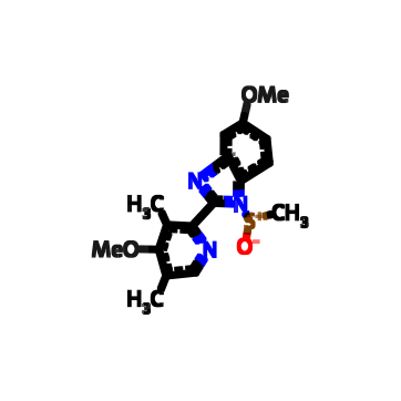 COc1ccc2c(c1)nc(-c1ncc(C)c(OC)c1C)n2[S+](C)[O-]